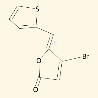 O=C1C=C(Br)/C(=C/c2cccs2)O1